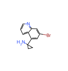 NC1(c2cc(Br)cc3ncccc23)CC1